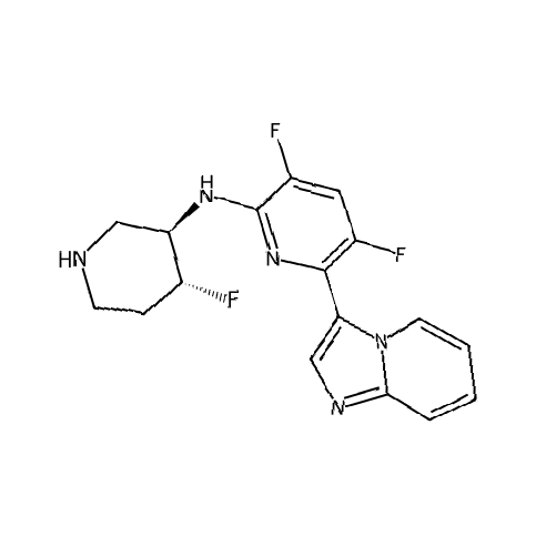 Fc1cc(F)c(-c2cnc3ccccn23)nc1N[C@@H]1CNCC[C@H]1F